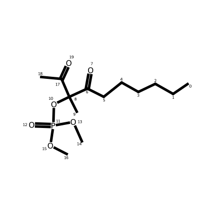 CCCCCCC(=O)C(C)(OP(=O)(OC)OC)C(C)=O